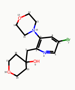 OC1(Cc2ncc(Br)cc2N2CCOCC2)CCOCC1